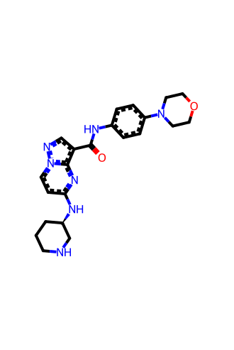 O=C(Nc1ccc(N2CCOCC2)cc1)c1cnn2ccc(N[C@@H]3CCCNC3)nc12